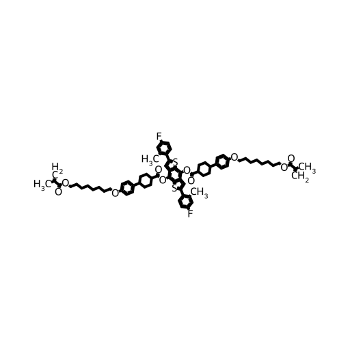 C=C(C)C(=O)OCCCCCCCCOc1ccc(C2CCC(C(=O)Oc3c4cc(-c5ccc(F)cc5C)sc4c(OC(=O)C4CCC(c5ccc(OCCCCCCCCOC(=O)C(=C)C)cc5)CC4)c4cc(-c5ccc(F)cc5C)sc34)CC2)cc1